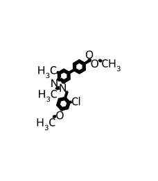 CCOC(=O)c1ccc(-c2cc(C)c3nc(C)n(Cc4ccc(OCC)cc4Cl)c3c2)cc1